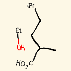 CC(C)CCC(C)C(=O)O.CCO